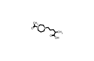 CC(=O)N1CCCN(CCCC(C)C(=O)O)CC1